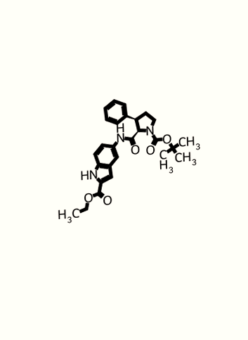 CCOC(=O)c1cc2cc(NC(=O)[C@H]3[C@@H](c4ccccc4)CCN3C(=O)OC(C)(C)C)ccc2[nH]1